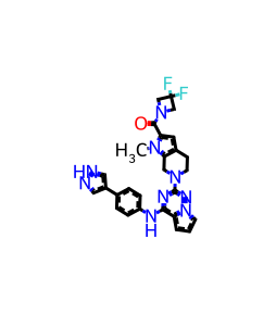 Cn1c(C(=O)N2CC(F)(F)C2)cc2c1CN(c1nc(Nc3ccc(-c4cn[nH]c4)cc3)c3cccn3n1)CC2